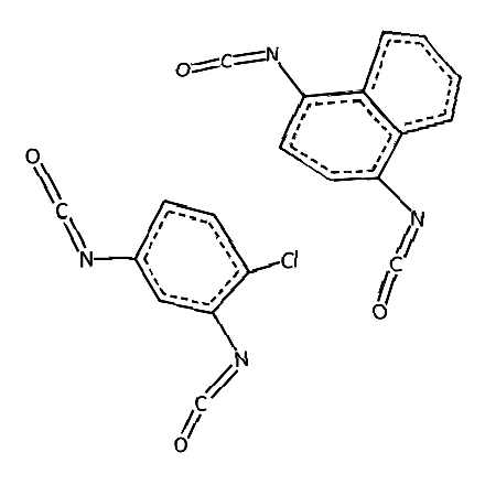 O=C=Nc1ccc(Cl)c(N=C=O)c1.O=C=Nc1ccc(N=C=O)c2ccccc12